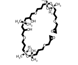 C[N+](C)(CC(O)COCCC[Si](C)(C)O[Si](C)(C)CCCOCC1CO1)CC(O)COCCC[Si](C)(C)O[Si](C)(C)CCCOCC1CO1